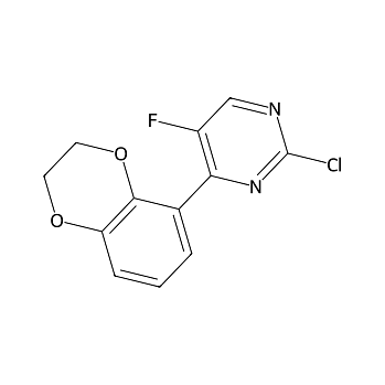 Fc1cnc(Cl)nc1-c1cccc2c1OCCO2